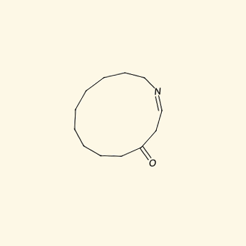 O=C1CC=NCCCCCCCCC1